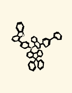 c1ccc(-c2ccc(-c3ccc(N(c4ccc(-c5cccc6c5oc5ccccc56)cc4)c4cccc5c4-c4ccccc4C5(c4ccccc4)c4ccccc4)c4ccccc34)cc2)cc1